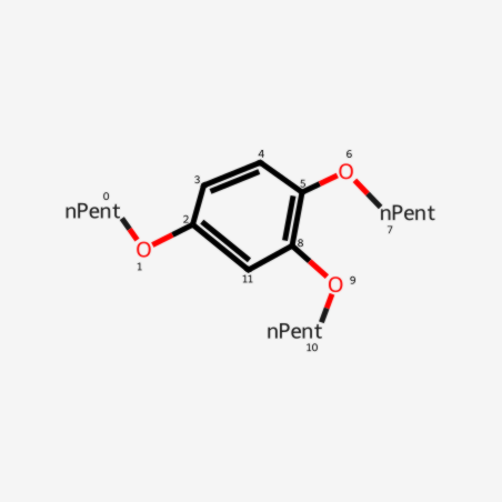 CCCCCOc1ccc(OCCCCC)c(OCCCCC)c1